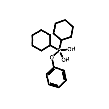 OP(O)(Oc1ccccc1)(C1CCCCC1)C1CCCCC1